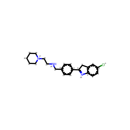 Clc1ccc2c(c1)CC(c1ccc(CNCCN3CCCCC3)cc1)=N2